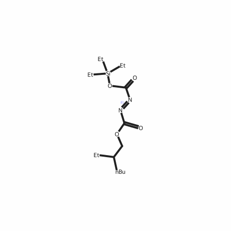 CCCCC(CC)COC(=O)/N=N/C(=O)O[Si](CC)(CC)CC